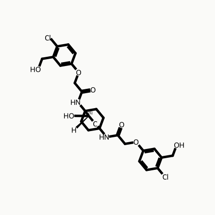 O=C(COc1ccc(Cl)c(CO)c1)NC12CCC(NC(=O)COc3ccc(Cl)c(CO)c3)(CC1)[C@@H](O)C2